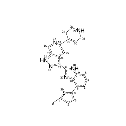 Cc1ccc(-c2cccc3[nH]c(-c4n[nH]c5cnc(C6=CCNCC6)cc45)nc23)s1